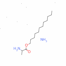 CCCCCCCCCCCCOC(=O)C(C)N.N